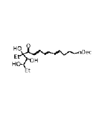 CCCCCCCCCCCCCC=CC=CC=CC(=O)C(O)(CC)C(O)C(O)CC